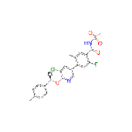 CC[C@@H](Oc1ncc(-c2cc(F)c(C(=O)NS(C)(=O)=O)cc2C)cc1Cl)c1ccc(C)cc1